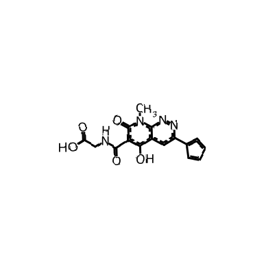 Cn1c(=O)c(C(=O)NCC(=O)O)c(O)c2cc(C3=C=CC=C3)nnc21